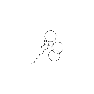 CCCCCCCC(C1=CCCCCCCCC1)C(C(=O)O)(C1=CCCCCCCCC1)C1=CCCCCCCCC1